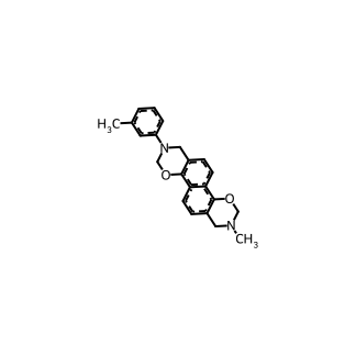 Cc1cccc(N2COc3c(ccc4c5c(ccc34)CN(C)CO5)C2)c1